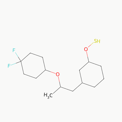 CC(CC1CCCC(OS)C1)OC1CCC(F)(F)CC1